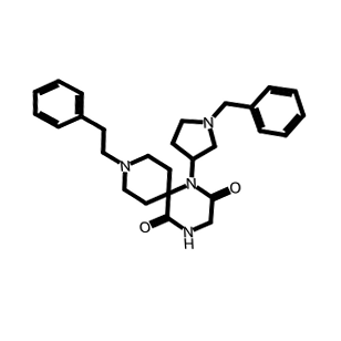 O=C1CNC(=O)C2(CCN(CCc3ccccc3)CC2)N1C1CCN(Cc2ccccc2)C1